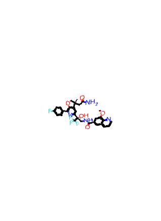 COc1cc(C(=O)NC[C@](O)(c2cc3c(c(-c4ccc(F)cc4)n2)OC[C@]3(C)CC(N)=O)C(F)(F)F)cc2cccnc12